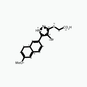 COC1=CCC2C=C(c3[nH]nc(SCC(=O)O)c3Br)C=CC2=C1